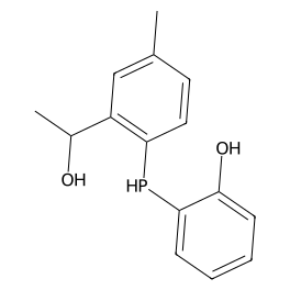 Cc1ccc(Pc2ccccc2O)c(C(C)O)c1